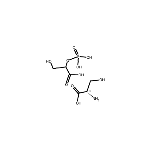 N[C@@H](CO)C(=O)O.O=C(O)C(CO)OP(=O)(O)O